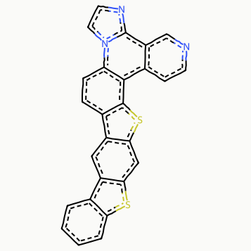 c1ccc2c(c1)sc1cc3sc4c(ccc5c4c4ccncc4c4nccn54)c3cc12